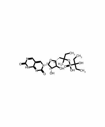 CCC(C)(C[C@H]1O[C@@H](n2cc3cnc(=O)[nH]c3nc2=O)[C@@H](O)C1O)OP(=O)(O)C(O)(CC)CC